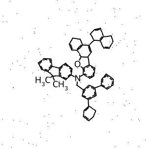 CC1(C)c2ccccc2-c2ccc(N(Cc3cc(C4=CC=CCC4)cc(-c4ccccc4)c3)c3cccc4c3OC3C5=C(CCC=C5)C(C5CC=CC6=C5C=CCC6)=CC43)cc21